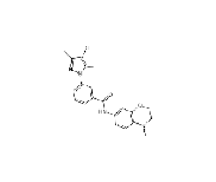 Cc1nn(-c2cccc(C(=O)Nc3ccc4c(c3)OCCN4C)c2)c(C)c1Cl